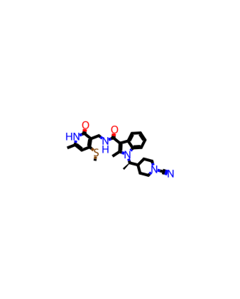 CSc1cc(C)[nH]c(=O)c1CNC(=O)c1c(C)n([C@H](C)C2CCN(C#N)CC2)c2ccccc12